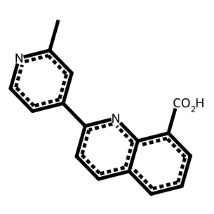 Cc1cc(-c2ccc3cccc(C(=O)O)c3n2)ccn1